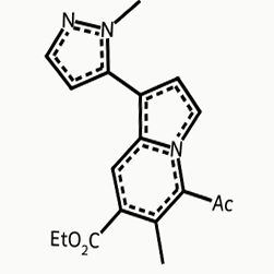 CCOC(=O)c1cc2c(-c3ccnn3C)ccn2c(C(C)=O)c1C